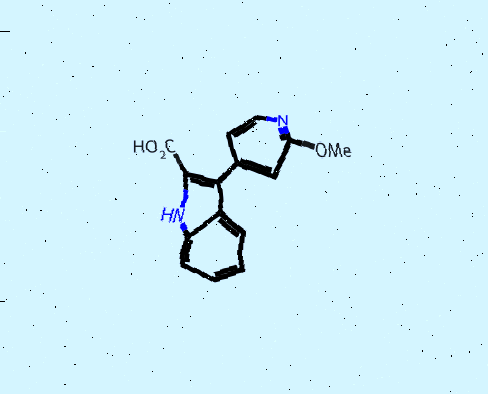 COc1cc(-c2c(C(=O)O)[nH]c3ccccc23)ccn1